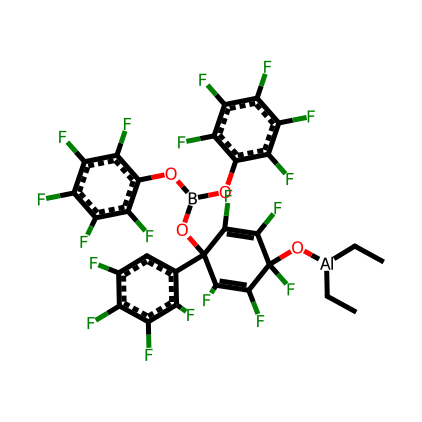 C[CH2][Al]([CH2]C)[O]C1(F)C(F)=C(F)C(OB(Oc2c(F)c(F)c(F)c(F)c2F)Oc2c(F)c(F)c(F)c(F)c2F)(c2cc(F)c(F)c(F)c2F)C(F)=C1F